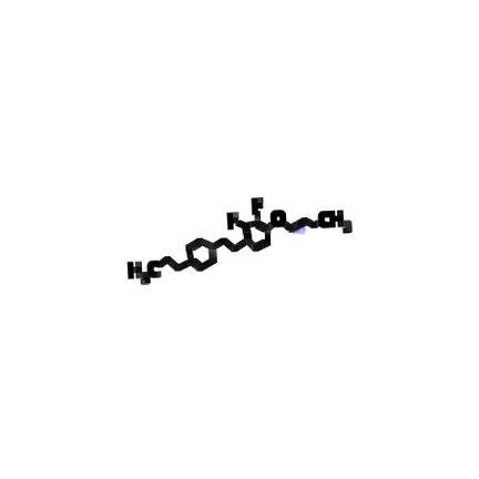 CC/C=C/Oc1ccc(CCc2ccc(CCC)cc2)c(F)c1F